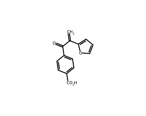 C=C(C(=O)c1ccc(C(=O)O)cc1)c1ccco1